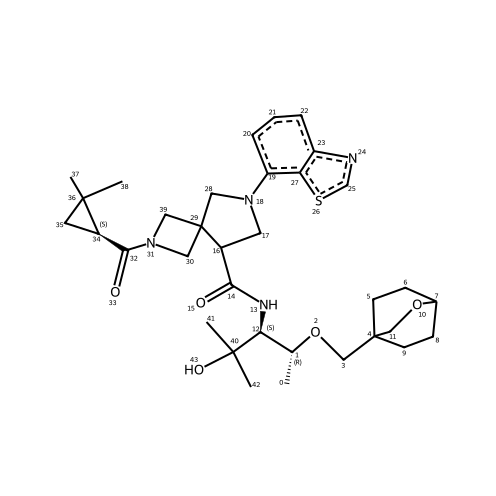 C[C@@H](OCC12CCC(CC1)OC2)[C@H](NC(=O)C1CN(c2cccc3ncsc23)CC12CN(C(=O)[C@H]1CC1(C)C)C2)C(C)(C)O